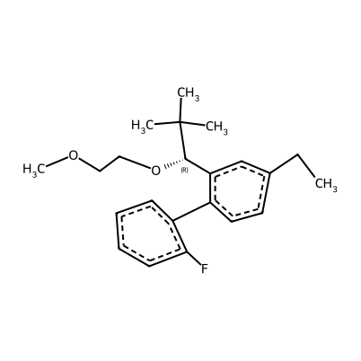 CCc1ccc(-c2ccccc2F)c([C@H](OCCOC)C(C)(C)C)c1